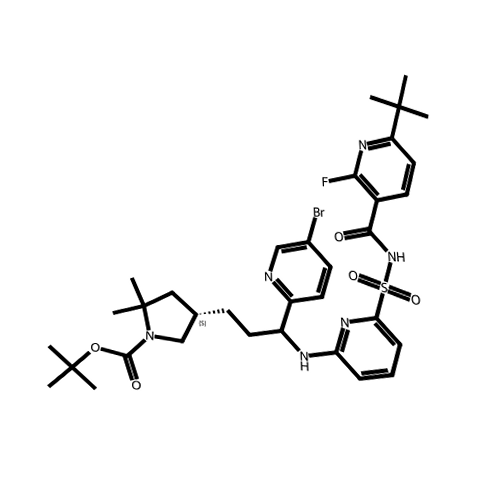 CC(C)(C)OC(=O)N1C[C@@H](CCC(Nc2cccc(S(=O)(=O)NC(=O)c3ccc(C(C)(C)C)nc3F)n2)c2ccc(Br)cn2)CC1(C)C